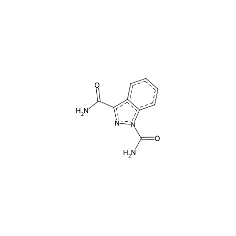 NC(=O)c1nn(C(N)=O)c2ccccc12